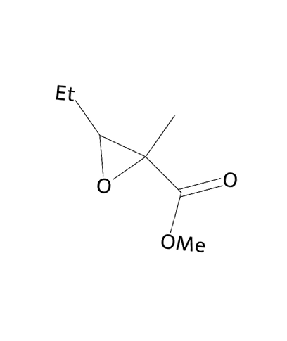 CCC1OC1(C)C(=O)OC